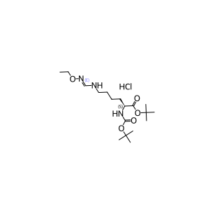 CCO/N=C/NCCCC[C@H](NC(=O)OC(C)(C)C)C(=O)OC(C)(C)C.Cl